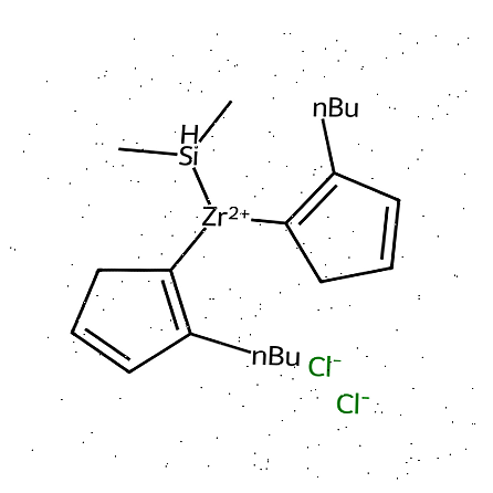 CCCCC1=[C]([Zr+2]([C]2=C(CCCC)C=CC2)[SiH](C)C)CC=C1.[Cl-].[Cl-]